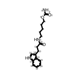 NC(=O)OCCCCCNC(=O)CCc1c[nH]c2ccccc12